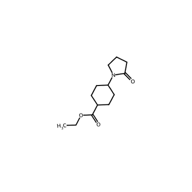 CCOC(=O)C1CCC(N2CCCC2=O)CC1